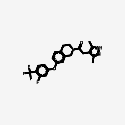 Cc1n[nH]c(C)c1CC(=O)N1CCc2ccc(Oc3ccc(C(F)(F)F)c(F)c3)cc2C1